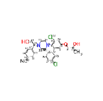 C[C@@H](O)COc1ccc(N2CCN([C@H](CO)c3ccc(C#N)cc3)C[C@H]2c2ccc(Cl)cc2)c(Cl)c1